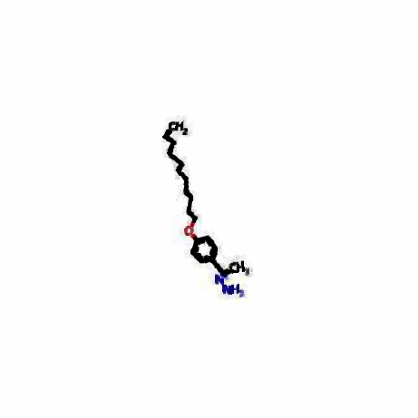 C=CCCCCCCCCCOc1ccc(/C(C)=N/N)cc1